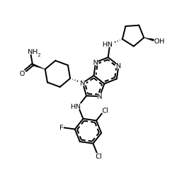 NC(=O)[C@H]1CC[C@H](n2c(Nc3c(F)cc(Cl)cc3Cl)nc3cnc(N[C@@H]4CC[C@@H](O)C4)nc32)CC1